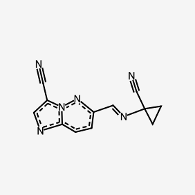 N#Cc1cnc2ccc(C=NC3(C#N)CC3)nn12